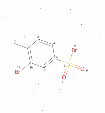 Cc1ccc(S(=O)(=O)Br)cc1Br